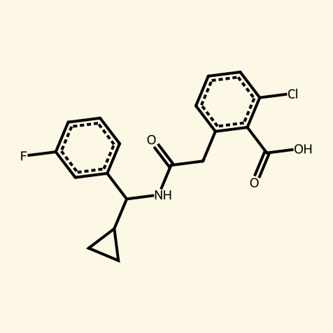 O=C(Cc1cccc(Cl)c1C(=O)O)NC(c1cccc(F)c1)C1CC1